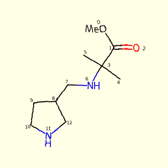 COC(=O)C(C)(C)NCC1CCNC1